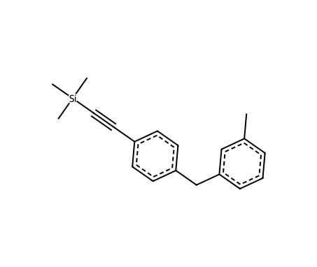 Cc1cccc(Cc2ccc(C#C[Si](C)(C)C)cc2)c1